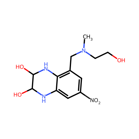 CN(CCO)Cc1cc([N+](=O)[O-])cc2c1NC(O)C(O)N2